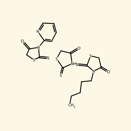 CCCCCN1C(=O)CSC1=S.O=C1CSC(=S)N1.O=C1CSC(=S)N1c1ccccn1